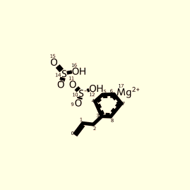 C=CCc1ccccc1.O=[S-](=O)O.O=[S-](=O)O.[Mg+2]